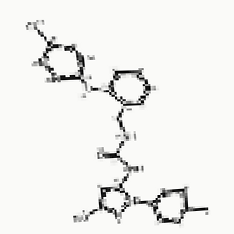 Cc1ccc(-n2nc(C(C)(C)C)cc2NC(=O)NCc2ccccc2Oc2ccc(Cl)nn2)cc1